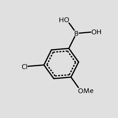 COc1cc(Cl)cc(B(O)O)c1